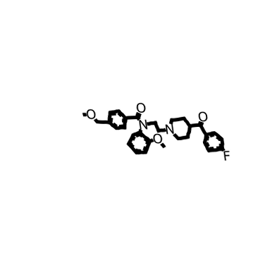 COCc1ccc(C(=O)N(CCN2CCC(C(=O)c3ccc(F)cc3)CC2)c2ccccc2OC)cc1